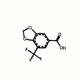 O=C(O)c1cc2c(c(C(F)(F)F)c1)OCO2